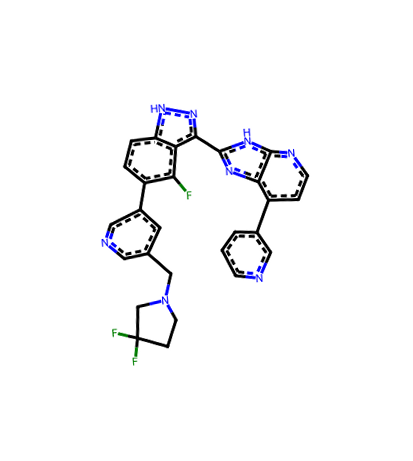 Fc1c(-c2cncc(CN3CCC(F)(F)C3)c2)ccc2[nH]nc(-c3nc4c(-c5cccnc5)ccnc4[nH]3)c12